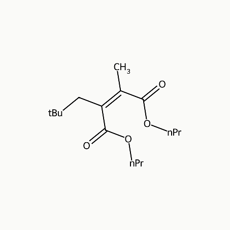 CCCOC(=O)C(C)=C(CC(C)(C)C)C(=O)OCCC